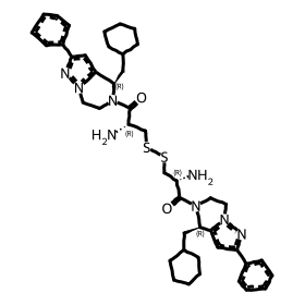 N[C@@H](CSSC[C@H](N)C(=O)N1CCn2nc(-c3ccccc3)cc2[C@H]1CC1CCCCC1)C(=O)N1CCn2nc(-c3ccccc3)cc2[C@H]1CC1CCCCC1